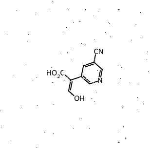 N#Cc1cncc(/C(=C\O)C(=O)O)c1